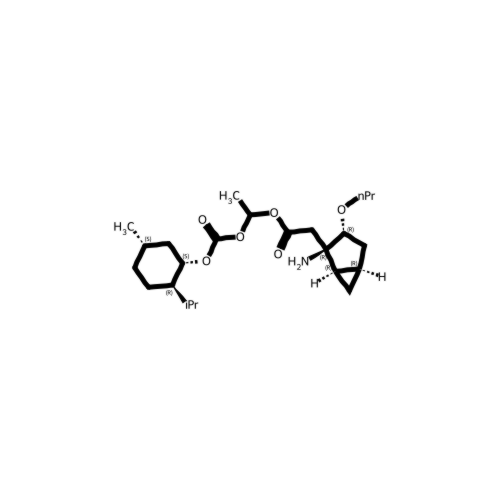 CCCO[C@@H]1C[C@H]2C[C@H]2[C@]1(N)CC(=O)OC(C)OC(=O)O[C@H]1C[C@@H](C)CC[C@@H]1C(C)C